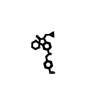 COc1ccc(CNc2ccc3c(c2)C2(OCCCO2)C(=O)N3CC2CC2)cc1